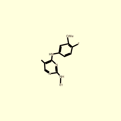 CCNc1ncc(C)c(Nc2ccc(F)c(OC)c2)n1